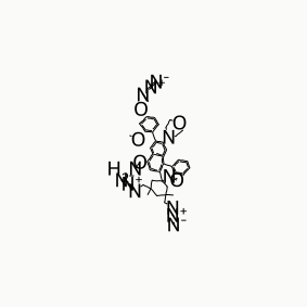 COc1cc(OCN=[N+]=[N-])ccc1-c1cc2c(ON)cc(C3(N=O)CC(C)(CN=[N+]=[N-])CC(C)(CN=[N+]=[N-])C3)c(-c3ccccc3)c2cc1N1CCOCC1